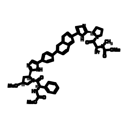 COC(=O)N[C@@H](C(=O)N1C[C@@H](OC)C[C@H]1c1ncc(-c2ccc(-c3ccc4cc(-c5cnc([C@@H]6CCCN6C(=O)C(C(C)C)N(C)C(=O)OC)[nH]5)ccc4c3)cc2)[nH]1)c1ccccc1